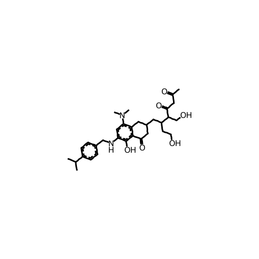 CC(=O)CC(=O)C(CO)C(CCO)CC1CC(=O)c2c(O)c(NCc3ccc(C(C)C)cc3)cc(N(C)C)c2C1